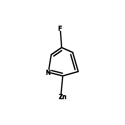 Fc1cc[c]([Zn])nc1